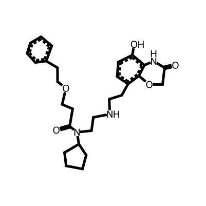 O=C1COc2c(CCNCCN(C(=O)CCOCCc3ccccc3)C3CCCC3)ccc(O)c2N1